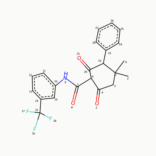 CC1(C)CC(=O)C(C(=O)Nc2cccc(C(F)(F)F)c2)C(=O)C1c1ccccc1